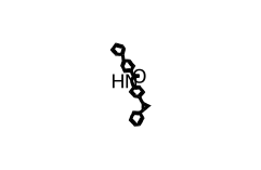 O=C(Nc1ccc(C2CC2c2ccccc2)cc1)c1ccc(-c2ccccc2)cc1